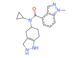 Cn1ncc2c(C(=O)N(C3CC3)C3CCC4=C(CNN4)C3)cccc21